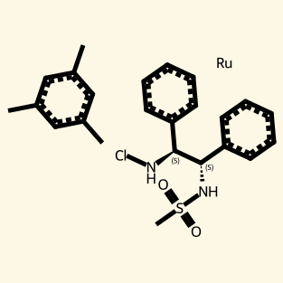 CS(=O)(=O)N[C@@H](c1ccccc1)[C@@H](NCl)c1ccccc1.Cc1cc(C)cc(C)c1.[Ru]